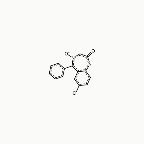 O=c1c[n+]([O-])c(-c2ccccc2)c2cc(Cl)ccc2n1